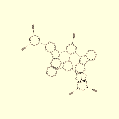 N#Cc1cc(C#N)cc(-c2ccc3c(c2)c2ccccc2n3-c2cc(C#N)cc(-n3c4ccccc4c4cc(-c5cc(C#N)cc(C#N)c5)ccc43)c2-c2cc(-c3ccccc3)nc(-c3ccccc3)n2)c1